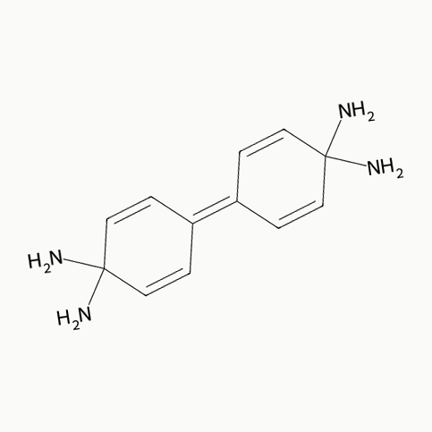 NC1(N)C=CC(=C2C=CC(N)(N)C=C2)C=C1